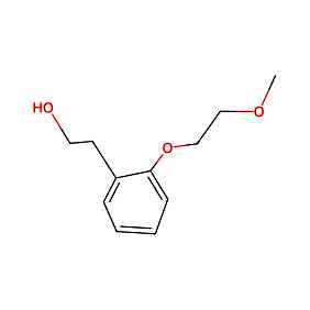 COCCOc1ccccc1CCO